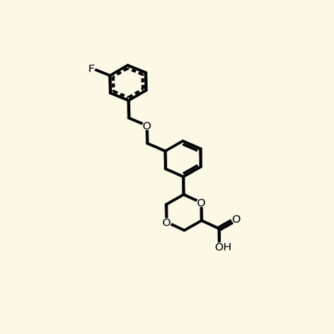 O=C(O)C1COCC(C2=CC=CC(COCc3cccc(F)c3)C2)O1